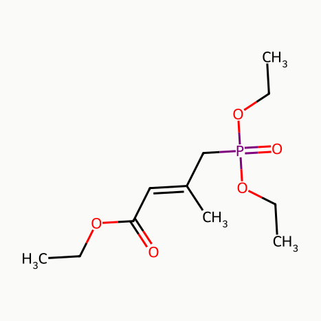 CCOC(=O)/C=C(\C)CP(=O)(OCC)OCC